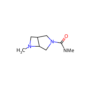 CNC(=O)N1CC2CN(C)C2C1